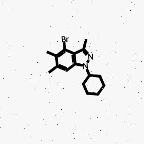 Cc1cc2c(c(C)nn2C2CCCCC2)c(Br)c1C